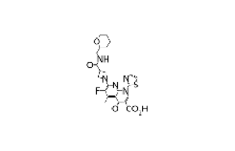 Cc1c(F)c(N2CC(C(=O)NCC3CCCCO3)C2)nc2c1c(=O)c(C(=O)O)cn2-c1nccs1